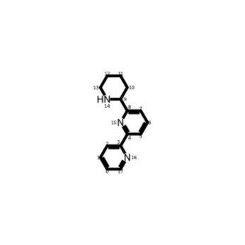 c1ccc(-c2cccc(C3CCCCN3)n2)nc1